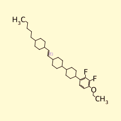 CCCCCC1CCC(/C=C/C2CCC(C3CCC(c4ccc(OCC)c(F)c4F)CC3)CC2)CC1